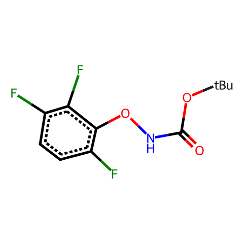 CC(C)(C)OC(=O)NOc1c(F)ccc(F)c1F